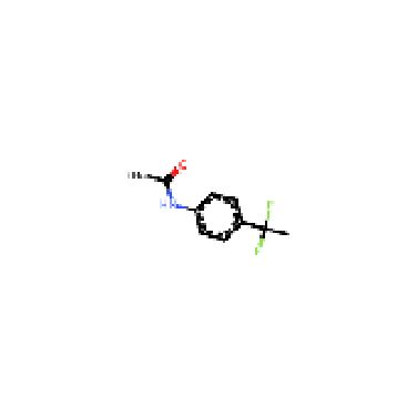 CC(C)(C)C(=O)Nc1ccc(C(C)(F)F)cc1